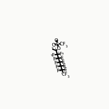 CC(OS(=O)(=O)C(F)(F)F)C(F)(F)C(F)(F)C(F)(F)C(F)(F)C(F)(F)C(F)(F)F